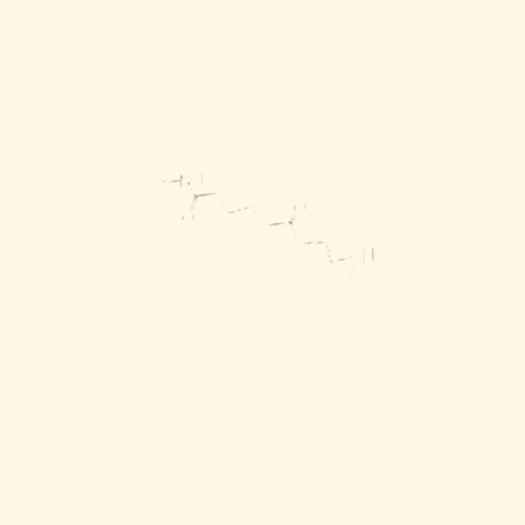 CNC(=O)CCCCC(=O)OCC[SH](C)(C)(C)C